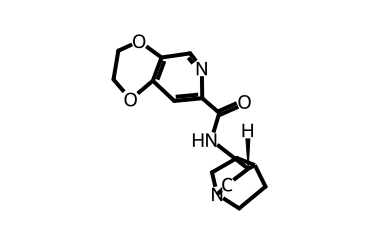 O=C(N[C@H]1CN2CCC1CC2)c1cc2c(cn1)OCCO2